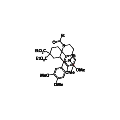 CCOC(=O)C1(C(=O)OCC)CCC2(c3cc(OC)c(OC)cc3CCN2C(=O)CC)C(C2c3cc(OC)c(OC)cc3CCN2CC)C1